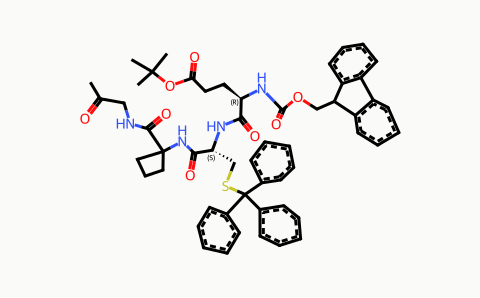 CC(=O)CNC(=O)C1(NC(=O)[C@@H](CSC(c2ccccc2)(c2ccccc2)c2ccccc2)NC(=O)[C@@H](CCC(=O)OC(C)(C)C)NC(=O)OCC2c3ccccc3-c3ccccc32)CCC1